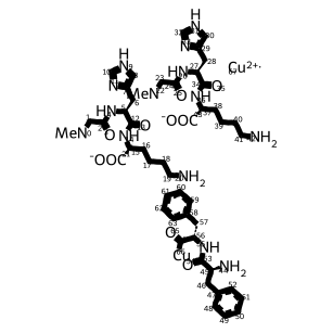 CNCC(=O)N[C@@H](Cc1c[nH]cn1)C(=O)N[C@@H](CCCCN)C(=O)[O-].CNCC(=O)N[C@@H](Cc1c[nH]cn1)C(=O)N[C@@H](CCCCN)C(=O)[O-].N[C@@H](Cc1ccccc1)C(=O)N[C@@H](Cc1ccccc1)[C](=O)[Cu].[Cu+2]